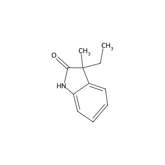 CCC1(C)C(=O)Nc2ccccc21